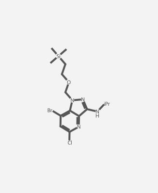 CC(C)Nc1nn(COCC[Si](C)(C)C)c2c(Br)cc(Cl)nc12